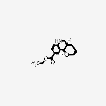 CCOC(=O)c1ccc2c(c1)[C@H]1OCCC[C@H]1CN2